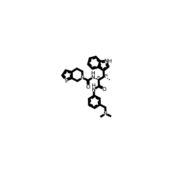 C[C@@H](c1c[nH]c2ccccc12)[C@@H](NC(=O)N1CCc2ccsc2C1)C(=O)Nc1cccc(CN(C)C)c1